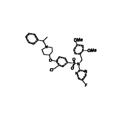 COc1ccc(CN(c2ncc(F)cn2)S(=O)(=O)c2ccc(OC3CCN(C(C)c4ccccc4)CC3)c(Cl)c2)c(OC)c1